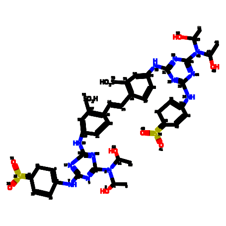 CC(O)N(c1nc(NC2=CCC(=S(=O)=O)C=C2)nc(Nc2ccc(C=Cc3ccc(Nc4nc(NC5=CCC(=S(=O)=O)C=C5)nc(N(C(C)O)C(C)O)n4)cc3S(=O)(=O)O)c(S(=O)(=O)O)c2)n1)C(C)O